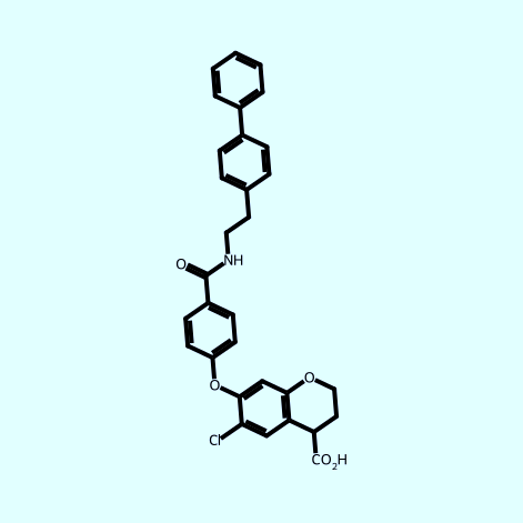 O=C(NCCc1ccc(-c2ccccc2)cc1)c1ccc(Oc2cc3c(cc2Cl)C(C(=O)O)CCO3)cc1